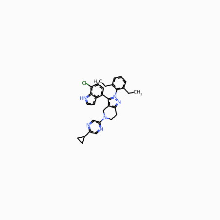 CCc1cccc(CC)c1-n1nc2c(c1-c1ccc(Cl)c3[nH]ccc13)CN(c1cnc(C3CC3)cn1)CC2